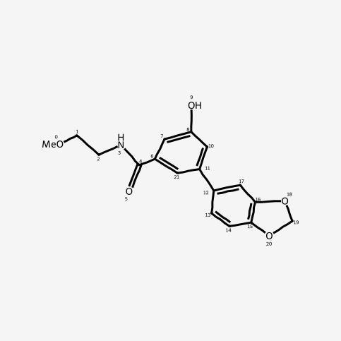 COCCNC(=O)c1cc(O)cc(-c2ccc3c(c2)OCO3)c1